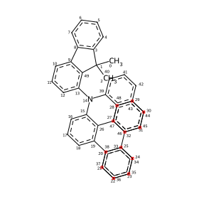 CC1(C)c2ccccc2-c2cccc(N(c3cccc(-c4ccccc4)c3-c3ccccc3-c3ccccc3)c3cccc4ccccc34)c21